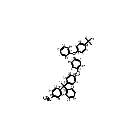 CC(C)(C)c1ccc(P(c2ccccc2)c2ccc(Oc3ccc(C(C)(c4ccccc4)c4ccc(N=O)cc4)cc3)cc2)cc1